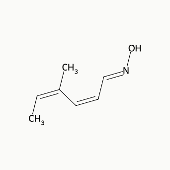 C\C=C(C)/C=C\C=N\O